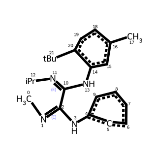 C/N=C(Nc1ccccc1)\C(=N/C(C)C)Nc1cc(C)ccc1C(C)(C)C